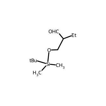 CCC(C=O)CO[Si](C)(C)C(C)(C)C